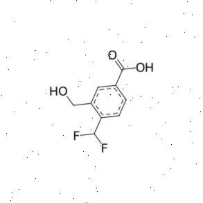 O=C(O)c1ccc(C(F)F)c(CO)c1